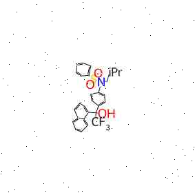 CC(C)CN(c1ccc(C(O)(c2cccc3ccccc23)C(F)(F)F)cc1)S(=O)(=O)c1ccccc1